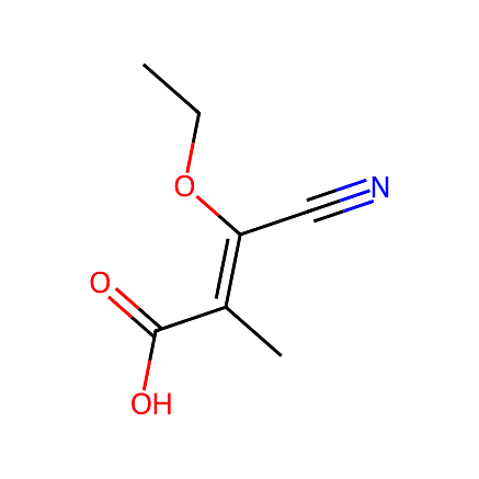 CCOC(C#N)=C(C)C(=O)O